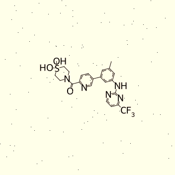 Cc1cc(Nc2nccc(C(F)(F)F)n2)cc(-c2ccc(C(=O)N3CCS(O)(O)CC3)nc2)c1